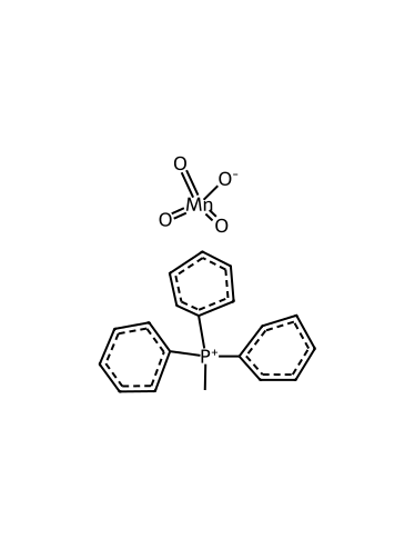 C[P+](c1ccccc1)(c1ccccc1)c1ccccc1.[O]=[Mn](=[O])(=[O])[O-]